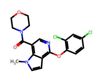 Cn1ccc2c(Oc3ccc(Cl)cc3Cl)ncc(C(=O)N3CCOCC3)c21